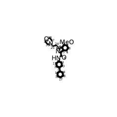 COc1cccc2c(C(=O)Nc3ccc(-c4ccccc4)cc3)nn(CCN3CCOCC3)c12